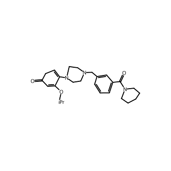 CC(C)OC1=CC(=O)CC=C1N1CCN(Cc2cccc(C(=O)N3CCCCC3)c2)CC1